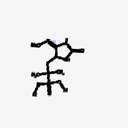 CCOP(=O)(OCC)C(C)(C)CC1NC(=O)N/C1=N/OC